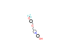 Oc1ccc(N2CCC(CCOCc3ccc(OC(F)(F)F)cc3)CC2)cc1